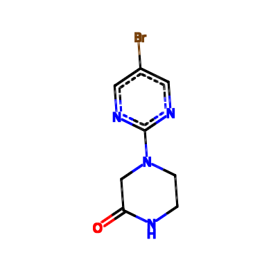 O=C1CN(c2ncc(Br)cn2)CCN1